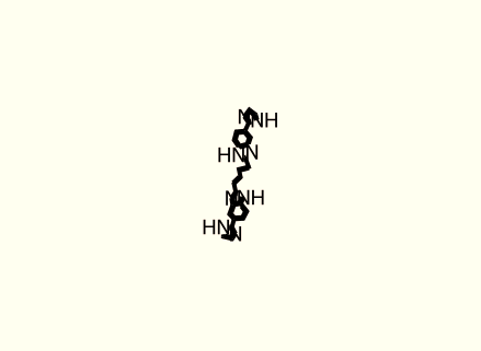 C(C=Cc1nc2cc(-c3ncc[nH]3)ccc2[nH]1)=Cc1nc2cc(-c3ncc[nH]3)ccc2[nH]1